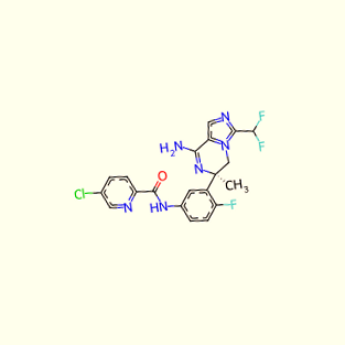 C[C@@]1(c2cc(NC(=O)c3ccc(Cl)cn3)ccc2F)Cn2c(cnc2C(F)F)C(N)=N1